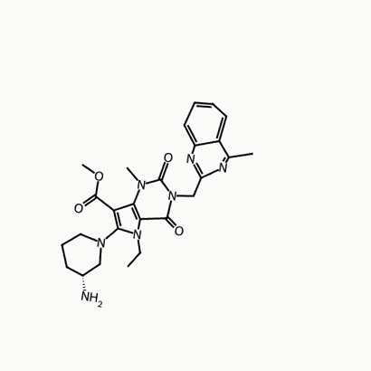 CCn1c(N2CCC[C@@H](N)C2)c(C(=O)OC)c2c1c(=O)n(Cc1nc(C)c3ccccc3n1)c(=O)n2C